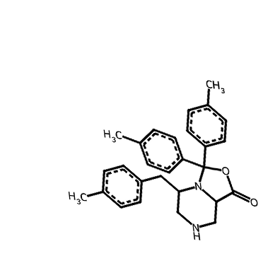 Cc1ccc(CC2CNCC3C(=O)OC(c4ccc(C)cc4)(c4ccc(C)cc4)N23)cc1